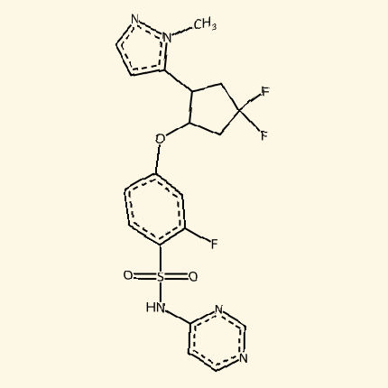 Cn1nccc1C1CC(F)(F)CC1Oc1ccc(S(=O)(=O)Nc2ccncn2)c(F)c1